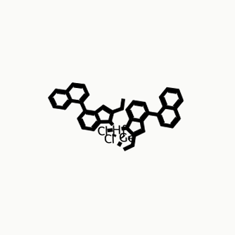 CCC1=Cc2c(-c3cccc4ccccc34)cccc2[CH]1[Hf]([Cl])([Cl])([CH]1C(CC)=Cc2c(-c3cccc4ccccc34)cccc21)=[Ge]([CH3])[CH3]